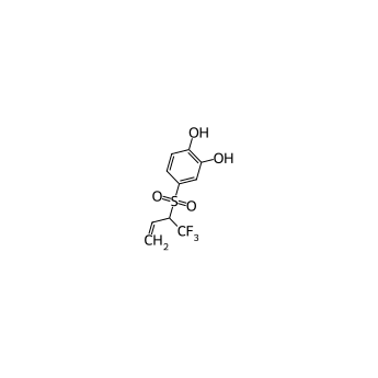 C=CC(C(F)(F)F)S(=O)(=O)c1ccc(O)c(O)c1